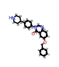 O=c1c2cc(OCc3ccccc3)ccc2ncn1-c1ccc(C2CCNCC2)cc1